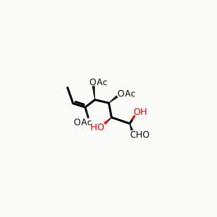 CC=C(OC(C)=O)[C@@H](OC(C)=O)[C@@H](OC(C)=O)[C@H](O)[C@@H](O)C=O